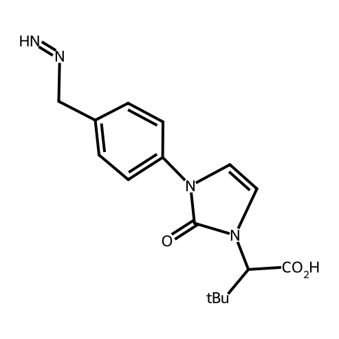 CC(C)(C)C(C(=O)O)n1ccn(-c2ccc(CN=N)cc2)c1=O